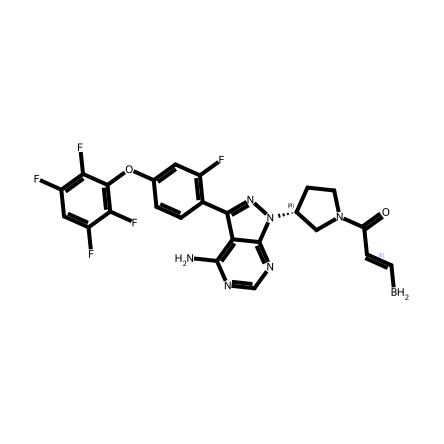 B/C=C/C(=O)N1CC[C@@H](n2nc(-c3ccc(Oc4c(F)c(F)cc(F)c4F)cc3F)c3c(N)ncnc32)C1